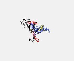 CCC1=C(OC(C)=O)N2C(=O)[C@@H](NC(=O)/C(=N\O[C@@H](CC)OC=O)c3csc(N)n3)[C@H]2SC1